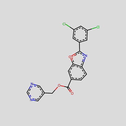 O=C(OCc1cncnc1)c1ccc2nc(-c3cc(Cl)cc(Cl)c3)oc2c1